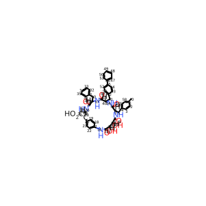 Cc1ccc(C[C@H]2NC(=O)[C@H](O)[C@@H](O)C(=O)Nc3ccc(cc3)C[C@@H](C(=O)O)NC(=O)[C@@H](Cc3ccccc3)NC(=O)[C@H](Cc3ccc(-c4ccccc4)cc3)NC2=O)cc1